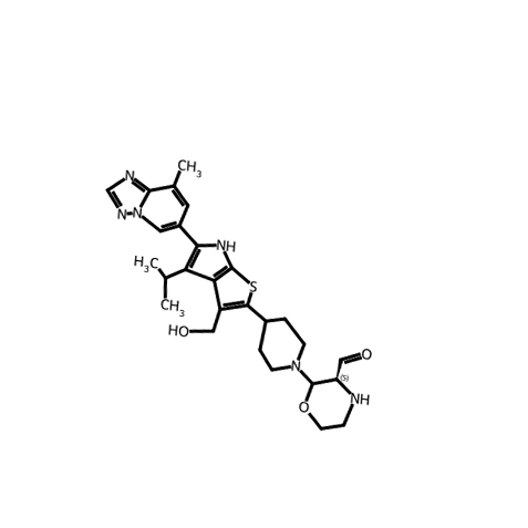 Cc1cc(-c2[nH]c3sc(C4CCN(C5OCCN[C@@H]5C=O)CC4)c(CO)c3c2C(C)C)cn2ncnc12